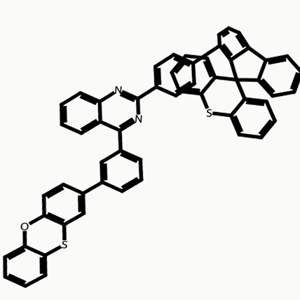 c1cc(-c2ccc3c(c2)Sc2ccccc2O3)cc(-c2nc(-c3ccc(-c4cccc5c4C4(c6ccccc6Sc6ccccc64)c4ccccc4-5)cc3)nc3ccccc23)c1